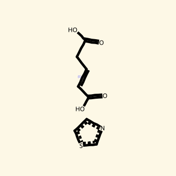 O=C(O)/C=C/CC(=O)O.c1cscn1